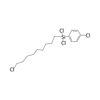 ClCCCCCCCCC[Si](Cl)(Cl)c1ccc(Cl)cc1